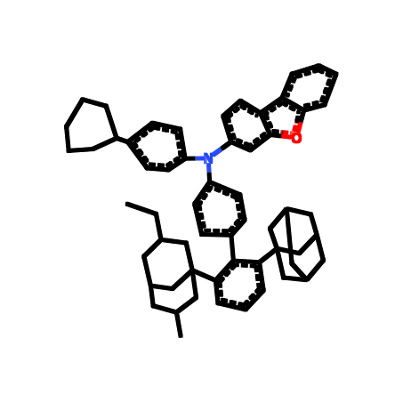 CCC1CC2CC(C)CC(c3cccc(C45CC6CC(CC(C6)C4)C5)c3-c3ccc(N(c4ccc(C5CCCCC5)cc4)c4ccc5c(c4)oc4ccccc45)cc3)(C1)C2